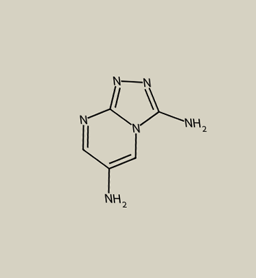 Nc1cnc2nnc(N)n2c1